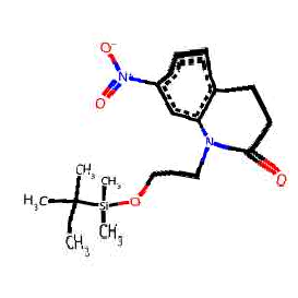 CC(C)(C)[Si](C)(C)OCCN1C(=O)CCc2ccc([N+](=O)[O-])cc21